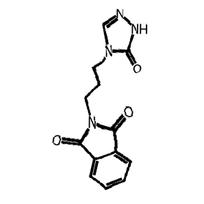 O=C1c2ccccc2C(=O)N1CCCn1cn[nH]c1=O